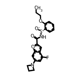 CCCOc1ccccc1[S+]([O-])NC(=O)c1cc2c(F)cc(N3CCC3)cc2o1